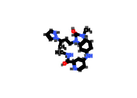 CNC(=O)c1cc(Nc2ccc3c(c2)n(CCC(C)n2cccn2)c(=O)n3C)ccn1